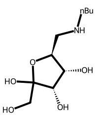 CCCCNC[C@@H]1OC(O)(CO)[C@@H](O)[C@H]1O